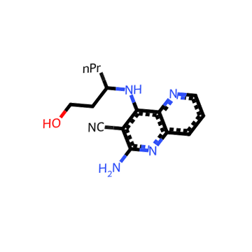 CCCC(CCO)Nc1c(C#N)c(N)nc2cccnc12